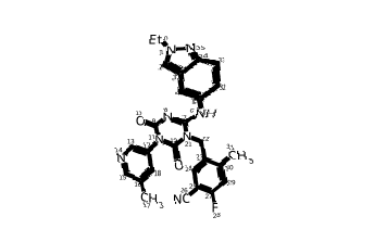 CCn1cc2cc(Nc3nc(=O)n(-c4cncc(C)c4)c(=O)n3Cc3cc(C#N)c(F)cc3C)ccc2n1